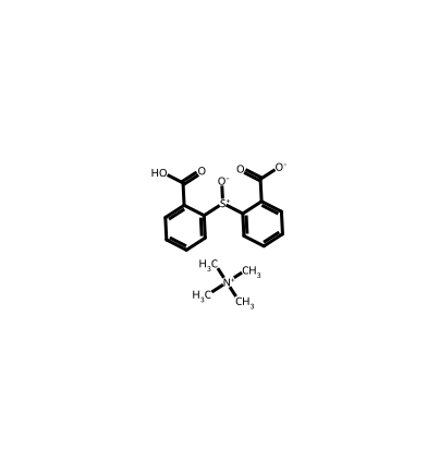 C[N+](C)(C)C.O=C([O-])c1ccccc1[S+]([O-])c1ccccc1C(=O)O